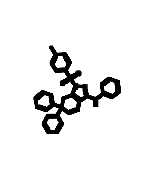 Cc1ccc(S(=O)(=O)n2nc(Nc3ccccc3)c3c2CC(c2ccccc2)(c2ccccc2)C=C3)cc1